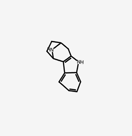 c1ccc2c3c([nH]c2c1)CC1CCC3N1